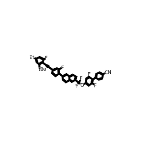 CCc1cc(F)c(C#Cc2ccc(-c3ccc4cc(C(F)(F)Oc5cc(F)c(-c6ccc(C#N)cc6)c(F)c5)ccc4c3)c(F)c2)c(C(C)(C)C)c1